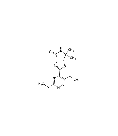 CCc1cnc(SC)nc1-c1nc2c(s1)C(C)(C)NC2=O